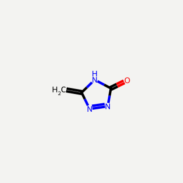 C=C1N=NC(=O)N1